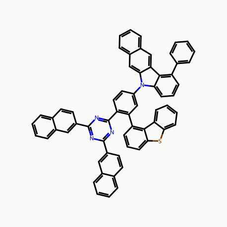 c1ccc(-c2cccc3c2c2cc4ccccc4cc2n3-c2ccc(-c3nc(-c4ccc5ccccc5c4)nc(-c4ccc5ccccc5c4)n3)c(-c3cccc4sc5ccccc5c34)c2)cc1